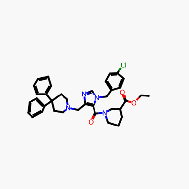 CCOC(=O)C1CCCN(C(=O)c2c(CN3CCC(c4ccccc4)(c4ccccc4)CC3)ncn2Cc2ccc(Cl)cc2)C1